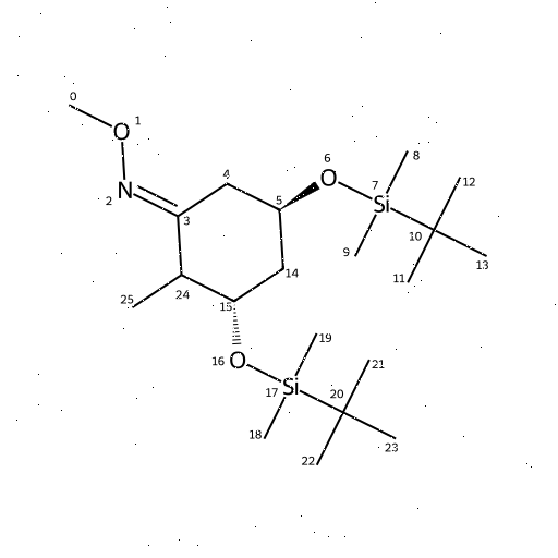 CON=C1C[C@@H](O[Si](C)(C)C(C)(C)C)C[C@H](O[Si](C)(C)C(C)(C)C)C1C